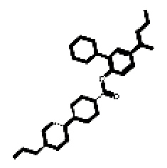 CCCC(C)c1ccc(OC(=O)[C@H]2CC[C@H]([C@H]3CC[C@H](CCC)CC3)CC2)c(C2CCCCC2)c1